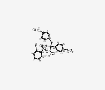 O=[C]c1ccc(CC(CCl)(NS(=O)(=O)c2c(F)cccc2F)c2ccc([N+](=O)[O-])cc2)cc1